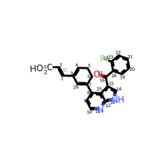 O=C(O)/C=C/C1=CCCC(c2ccnc3[nH]cc(C(=O)c4ccccc4F)c23)=C1